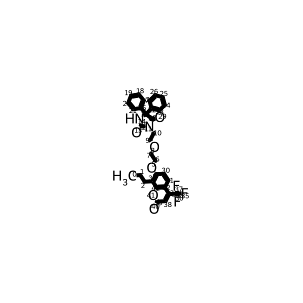 CCCc1c(OCCOCCN2C(=O)NC(c3ccccc3)(c3ccccc3)C2=O)ccc2c(C(F)(F)F)cc(=O)oc12